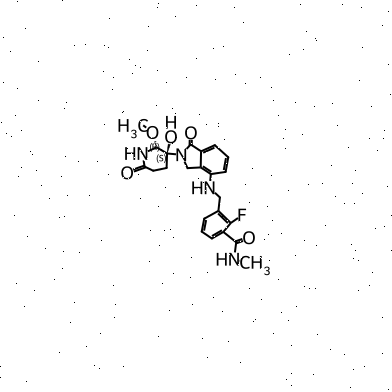 CNC(=O)c1cccc(CNc2cccc3c2CN([C@]2(O)CCC(=O)N[C@@H]2OC)C3=O)c1F